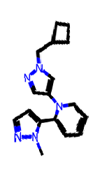 Cn1nccc1C1=CC=CCN1c1cnn(CC2CCC2)c1